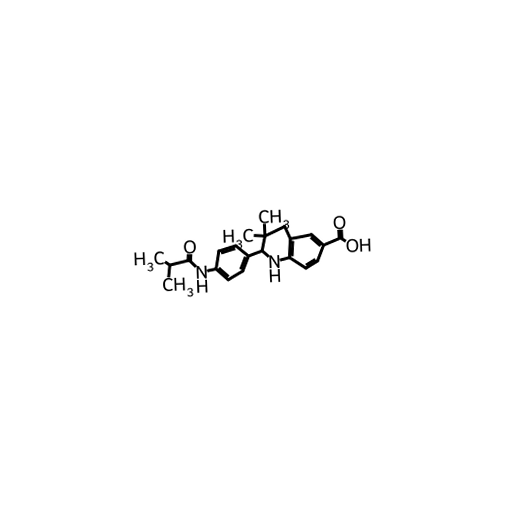 CC(C)C(=O)Nc1ccc(C2Nc3ccc(C(=O)O)cc3CC2(C)C)cc1